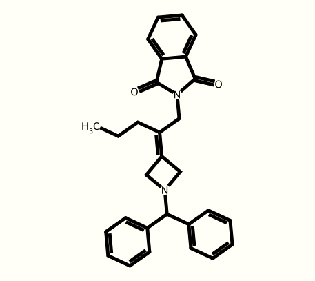 CCCC(CN1C(=O)c2ccccc2C1=O)=C1CN(C(c2ccccc2)c2ccccc2)C1